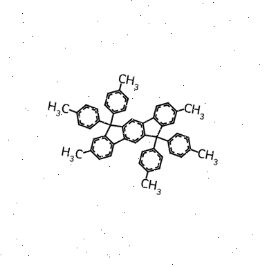 Cc1ccc(C2(c3ccc(C)cc3)c3cc(C)ccc3-c3cc4c(cc32)-c2ccc(C)cc2C4(c2ccc(C)cc2)c2ccc(C)cc2)cc1